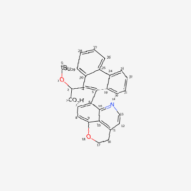 CC(C)(C)OC(C(=O)O)c1c(-c2ccc3c4c(ccnc24)CCO3)c2ccccc2c2ccccc12